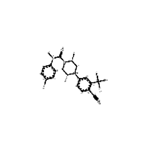 C[C@@H]1CN(C(=O)N(C)c2ccc(F)cc2)[C@@H](C)CN1c1ccc(C#N)c(C(F)(F)F)c1